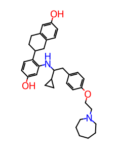 Oc1ccc2c(c1)CCC(c1ccc(O)cc1NC(Cc1ccc(OCCN3CCCCCC3)cc1)C1CC1)C2